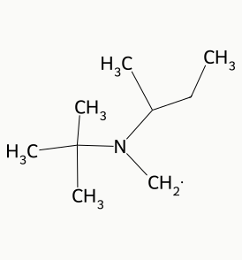 [CH2]N(C(C)CC)C(C)(C)C